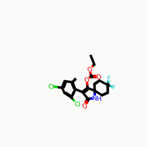 CCOC(=O)OC1=C(c2c(C)cc(Cl)cc2Cl)C(=O)NC12CCC(F)(F)CC2